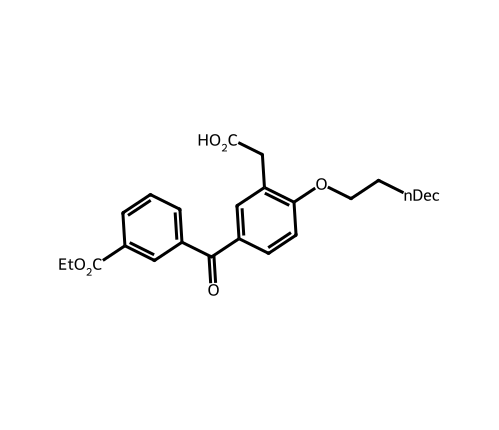 CCCCCCCCCCCCOc1ccc(C(=O)c2cccc(C(=O)OCC)c2)cc1CC(=O)O